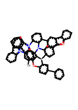 CC(C)(C)c1ccc2c(c1)N(c1c(-c3ccc4oc5ccccc5c4c3)cccc1-n1c3ccccc3c3cc(C#N)ccc31)c1cc(-n3c4ccccc4c4ccccc43)cc3c1B2c1cc(-c2ccccc2)ccc1O3